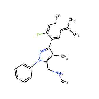 CC/C=C(F)\C(=C/C=C(C)C)c1nn(-c2ccccc2)c(CNC)c1C